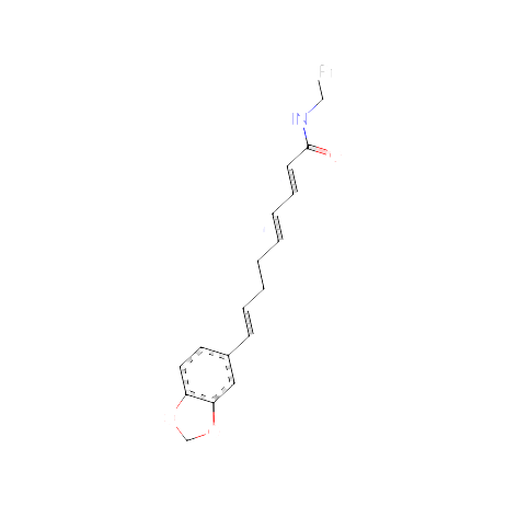 CC(C)CNC(=O)/C=C/C=C/CC/C=C/c1ccc2c(c1)OCO2